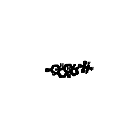 C[C@]12CCC(=O)OC1=CC[C@@H]1[C@@H]2CC[C@]2(C)C(OS(=O)(=O)C(F)(F)F)=CC[C@@H]12